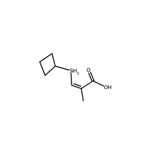 CC(=C[SiH2]C1CCC1)C(=O)O